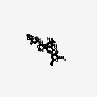 C#CCCC(NC(=O)[C@@H]1[C@@H]2[C@H](CN1C(=O)[C@@H](NC(=O)N[C@H](CN(C)C(=O)OC(C)(C)C)C(C)(C)C)C(C)(C)C)C2(C)C)C(=O)C(N)=O